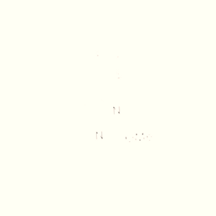 COc1nccc(-c2cccs2)n1